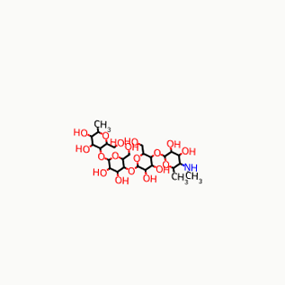 CNC1C(C)OC(OC2C(CO)OC(OC3C(CO)OC(OC4C(CO)OC(C)C(O)C4O)C(O)C3O)C(O)C2O)C(O)C1O